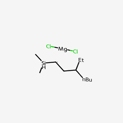 CCCCC(CC)C[CH][SiH](C)C.[Cl][Mg][Cl]